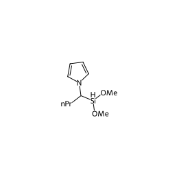 CCCC(n1cccc1)[SiH](OC)OC